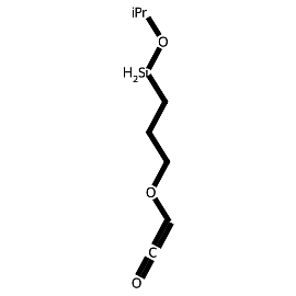 CC(C)O[SiH2]CCCOC=C=O